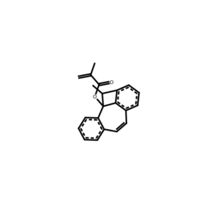 C=C(C)C(=O)OC12c3ccccc3C=Cc3cccc(c31)C2C